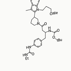 CCNC(=O)Nc1ccc(CC(CC(=O)N2CCCC(c3c(C)c4ccccc4n3CCCOC)C2)NC(=O)OC(C)(C)C)cc1